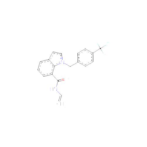 C=CNC(=O)c1cccc2ccn(Cc3ccc(C(F)(F)F)cc3)c12